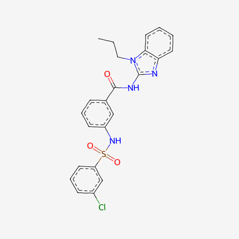 CCCn1c(NC(=O)c2cccc(NS(=O)(=O)c3cccc(Cl)c3)c2)nc2ccccc21